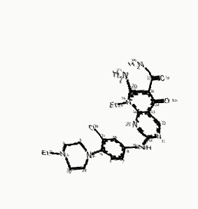 CCN1CCN(c2ccc(Nc3ncc4c(=O)c(C(N)=O)c(N)n(CC)c4n3)cc2Cl)CC1